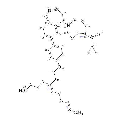 C/C=C/CC/C=C(/CCCC)CCOc1ccc(C2=CCC3=CN=CC=C(N4CC/C=C(\C(=O)C5CC5)CCC4)C3=C2)cc1